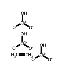 C=C.[O-][Cl+2]([O-])O.[O-][Cl+2]([O-])O.[O-][Cl+2]([O-])O